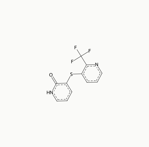 O=c1[nH]cccc1Sc1cccnc1C(F)(F)F